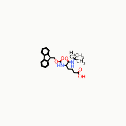 CC(C)(C)NC(=O)C(CCCC(=O)O)NC(=O)OCC1c2ccccc2-c2ccccc21